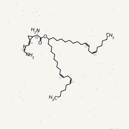 CCCCC/C=C\C/C=C\CCCCCCCCC(CCCCCCCC/C=C\C/C=C\CCCCC)OC(=O)[C@@H](N)C1C/C1=C\N=C/N